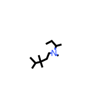 CCC(C)N(C)CCC(C)(C)C(C)C